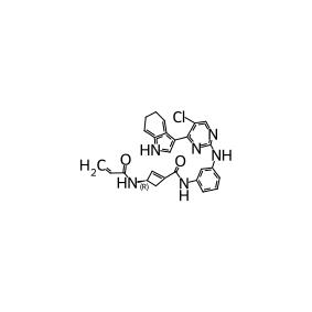 C=CC(=O)N[C@H]1C=C(C(=O)Nc2cccc(Nc3ncc(Cl)c(-c4c[nH]c5c4=CCCC=5)n3)c2)C1